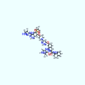 CN[C@@H](C)C(N)[C@@H](C(=O)N1Cc2cc(Oc3cc(N4CCC(Oc5cc6ncnc(Nc7n[nH]c(C)c7C)c6cc5S(=O)(=O)C(C)(C)C)CC4)ncn3)ccc2C[C@H]1C(=O)N[C@@H]1CCCc2ccccc21)C(C)(C)C